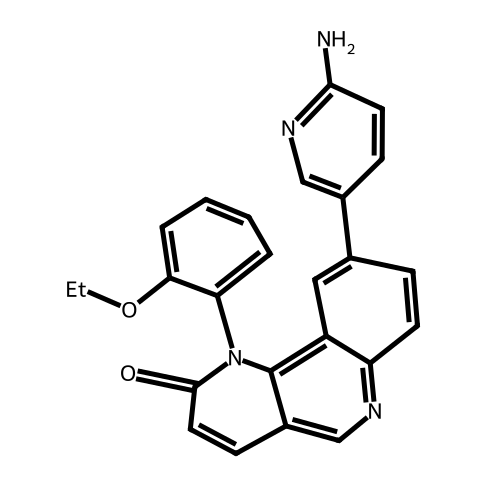 CCOc1ccccc1-n1c(=O)ccc2cnc3ccc(-c4ccc(N)nc4)cc3c21